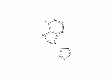 FC(F)(F)c1ncnc2c1ncn2-c1cccs1